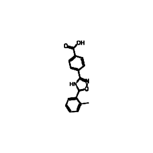 Cc1ccccc1C1NC(c2ccc(C(=O)O)cc2)=NO1